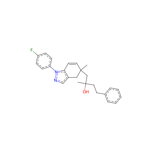 CC(O)(CCc1ccccc1)CC1(C)C=Cc2c(cnn2-c2ccc(F)cc2)C1